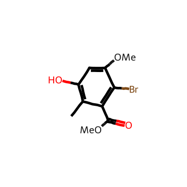 COC(=O)c1c(C)c(O)cc(OC)c1Br